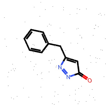 O=C1C=C(Cc2ccccc2)N=N1